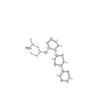 CCC(CC(C)O)Oc1ccccc1-c1ccc(-c2ccccc2)cc1